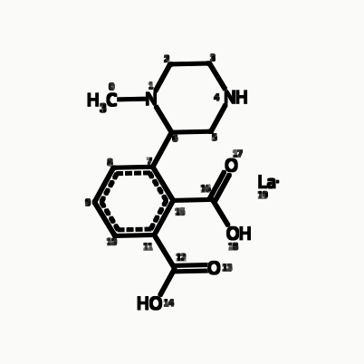 CN1CCNCC1c1cccc(C(=O)O)c1C(=O)O.[La]